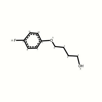 OC[CH]CCOc1ccc(F)cc1